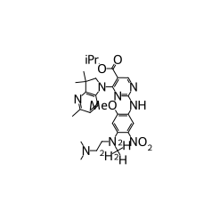 [2H]C([2H])([2H])N(CCN(C)C)c1cc(OC)c(Nc2ncc(C(=O)OC(C)C)c(N3CC(C)(C)c4nc(C)ccc43)n2)cc1[N+](=O)[O-]